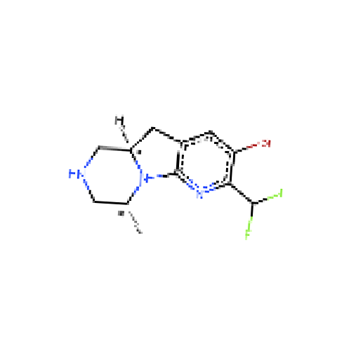 C[C@@H]1CNC[C@H]2Cc3cc(Br)c(C(F)F)nc3N21